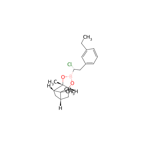 CCc1cccc(C[C@@H](Cl)B2O[C@@H]3C[C@@H]4C[C@@H](C4(C)C)[C@]3(C)O2)c1